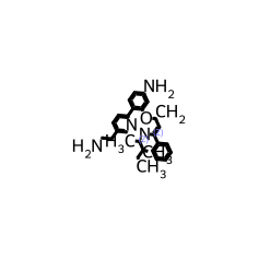 C=C(/C=C(\N=C(\C)C(C)CC)c1ccccc1)Oc1cc(N)ccc1-c1ccc(CCN)cn1